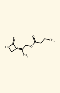 CCCC(=O)OC/C(C)=C1/CNC1=O